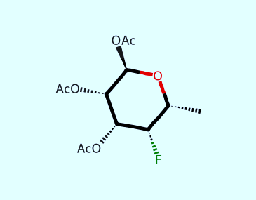 CC(=O)O[C@H]1O[C@H](C)[C@H](F)[C@H](OC(C)=O)[C@@H]1OC(C)=O